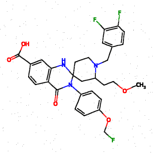 COCCC1CC2(CCN1Cc1ccc(F)c(F)c1)Nc1cc(C(=O)O)ccc1C(=O)N2c1ccc(OCF)cc1